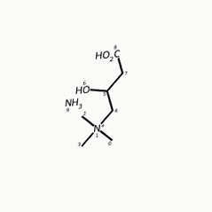 C[N+](C)(C)CC(O)CC(=O)O.N